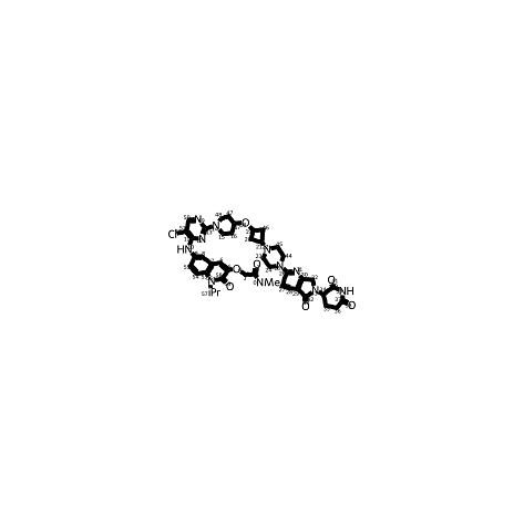 CNC(=O)COc1cc2cc(Nc3nc(N4CCC(OC5CC(N6CCN(c7ccc8c(n7)CN(C7CCC(=O)NC7=O)C8=O)CC6)C5)CC4)ncc3Cl)ccc2n(C(C)C)c1=O